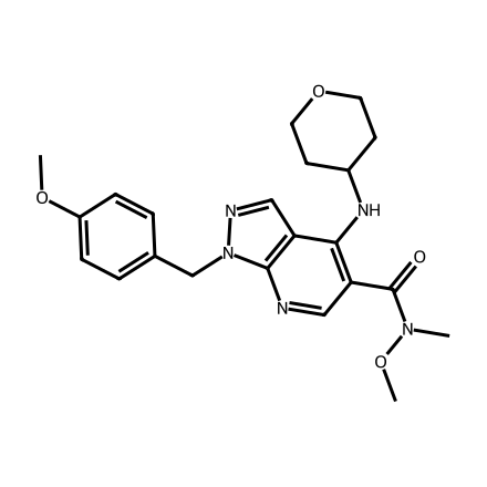 COc1ccc(Cn2ncc3c(NC4CCOCC4)c(C(=O)N(C)OC)cnc32)cc1